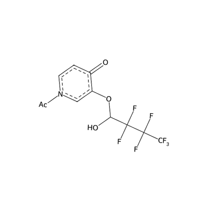 CC(=O)n1ccc(=O)c(OC(O)C(F)(F)C(F)(F)C(F)(F)F)c1